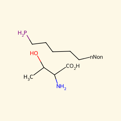 CC(O)C(N)C(=O)O.CCCCCCCCCCCCCCP